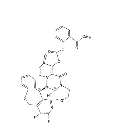 COC(=O)c1ccccc1OC(=O)Oc1c2n(ccc1=O)N([C@@H]1c3ccccc3SCc3c1ccc(F)c3F)[C@@H]1COCCN1C2=O